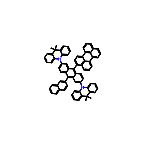 CC1(C)c2ccccc2N(c2ccc3c(-c4ccc5c6cccc7cccc(c8cccc4c85)c76)c4cc(N5c6ccccc6C(C)(C)c6ccccc65)ccc4c(-c4ccc5ccccc5c4)c3c2)c2ccccc21